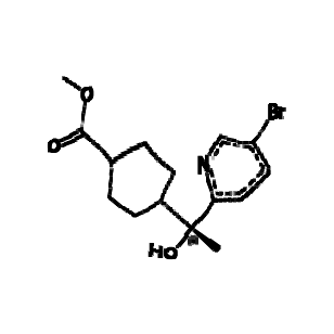 COC(=O)C1CCC([C@@](C)(O)c2ccc(Br)cn2)CC1